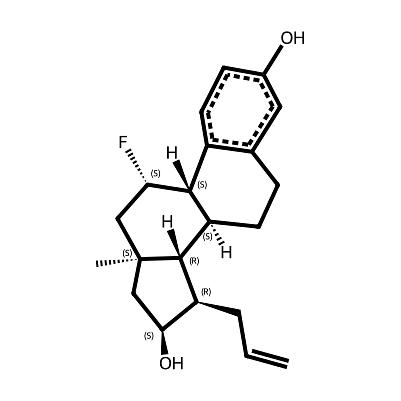 C=CC[C@@H]1[C@H]2[C@@H]3CCc4cc(O)ccc4[C@H]3[C@@H](F)C[C@]2(C)C[C@@H]1O